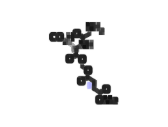 COC(=O)/C=C/C(=O)OCOC(=O)[C@H](CC(=O)O)NC(=O)CN